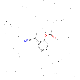 CC(=O)Oc1ccccc1C(C)C#N